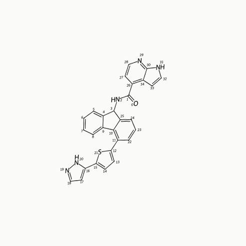 O=C(NC1c2ccccc2-c2c(-c3ccc(-c4ccn[nH]4)s3)cccc21)c1ccnc2[nH]ccc12